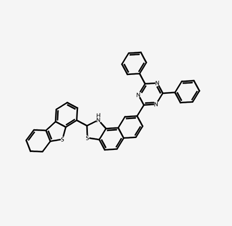 C1=Cc2c(sc3c(C4Nc5c(ccc6ccc(-c7nc(-c8ccccc8)nc(-c8ccccc8)n7)cc56)S4)cccc23)CC1